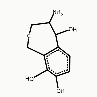 NC1CCCc2c(ccc(O)c2O)C1O